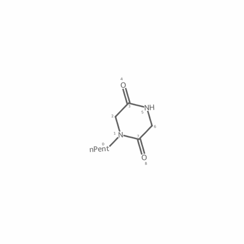 CCCCCN1CC(=O)NCC1=O